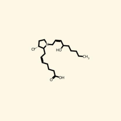 CCCCCC(O)/C=C\CN1CC[C@@H](Cl)C1C/C=C\CCCC(=O)O